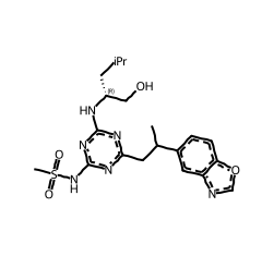 CC(C)C[C@H](CO)Nc1nc(CC(C)c2ccc3ocnc3c2)nc(NS(C)(=O)=O)n1